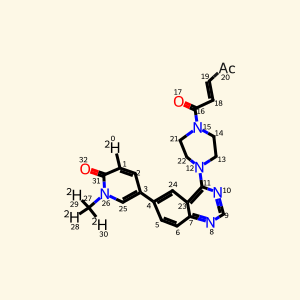 [2H]c1cc(-c2ccc3ncnc(N4CCN(C(=O)C=CC(C)=O)CC4)c3c2)cn(C([2H])([2H])[2H])c1=O